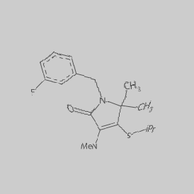 CNC1=C(SC(C)C)C(C)(C)N(Cc2cccc(F)c2)C1=O